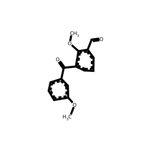 COc1cccc(C(=O)c2cccc([C]=O)c2OC)c1